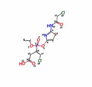 CCOP(=O)(Oc1csc(NC(=O)CCl)n1)C(CCl)CC(=O)O